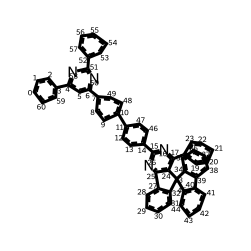 c1ccc(-c2cc(-c3ccc(-c4ccc(-c5nc(-c6ccccc6)c6c(n5)-c5ccccc5C65c6ccccc6-c6ccccc65)cc4)cc3)nc(-c3ccccc3)n2)cc1